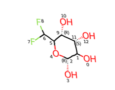 OC1[C@H](O)OC(C(F)F)[C@H](O)[C@@H]1O